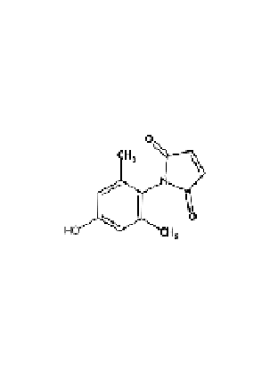 Cc1cc(O)cc(C)c1N1C(=O)C=CC1=O